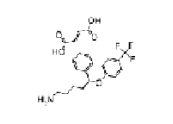 NCCCC[C@H](Oc1ccc(C(F)(F)F)cc1)c1ccccc1.O=C(O)C=CC(=O)O